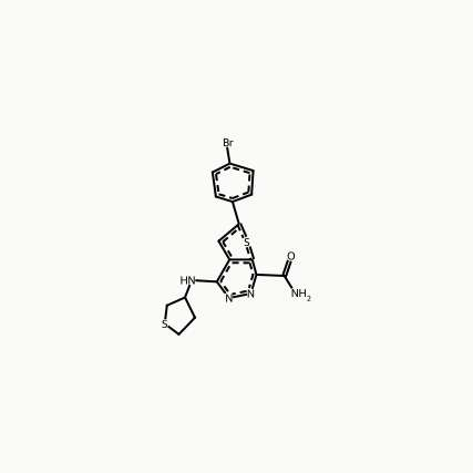 NC(=O)c1nnc(NC2CCSC2)c2cc(-c3ccc(Br)cc3)sc12